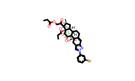 CCC(=O)OCC(=O)[C@@]1(OC(=O)CC)[C@@H](C)C[C@H]2[C@@H]3CCC4=Cc5nn(-c6cccc(Br)c6)cc5C[C@]4(C)[C@@]3(Cl)[C@@H](O)C[C@@]21C